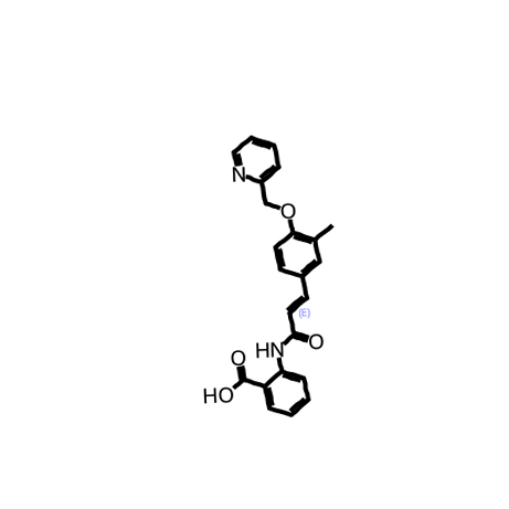 Cc1cc(/C=C/C(=O)Nc2ccccc2C(=O)O)ccc1OCc1ccccn1